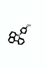 Oc1ccc(N(c2ccccc2)c2ccccc2-c2ccccc2)cc1